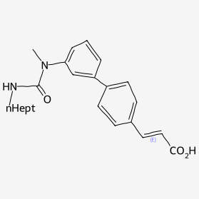 CCCCCCCNC(=O)N(C)c1cccc(-c2ccc(/C=C/C(=O)O)cc2)c1